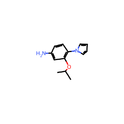 CC(C)Oc1cc(N)ccc1-n1cccc1